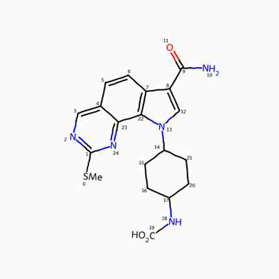 CSc1ncc2ccc3c(C(N)=O)cn(C4CCC(NC(=O)O)CC4)c3c2n1